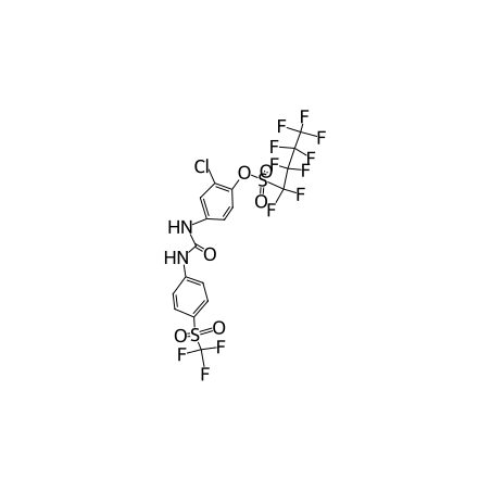 O=C(Nc1ccc(S(=O)(=O)C(F)(F)F)cc1)Nc1ccc(OS(=O)(=O)C(F)(F)C(F)(F)C(F)(F)C(F)(F)F)c(Cl)c1